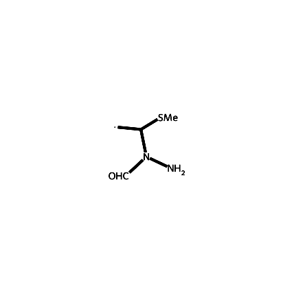 [CH2]C(SC)N(N)C=O